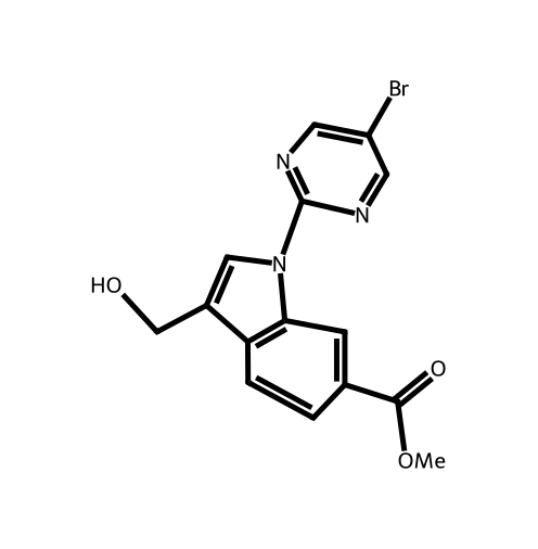 COC(=O)c1ccc2c(CO)cn(-c3ncc(Br)cn3)c2c1